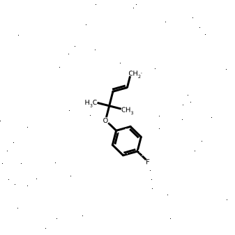 [CH2]C=CC(C)(C)Oc1ccc(F)cc1